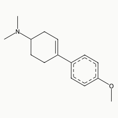 COc1ccc(C2=CCC(N(C)C)CC2)cc1